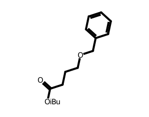 CC(C)COC(=O)CCCOCc1ccccc1